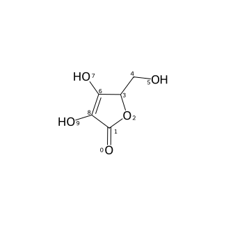 O=C1OC(CO)C(O)=C1O